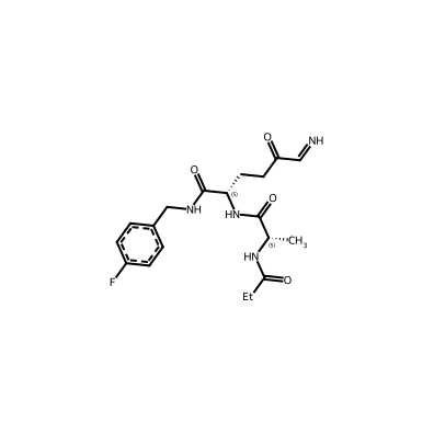 CCC(=O)N[C@@H](C)C(=O)N[C@@H](CCC(=O)C=N)C(=O)NCc1ccc(F)cc1